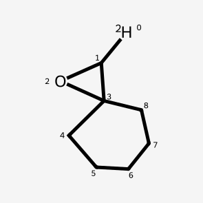 [2H]C1OC12CCCCC2